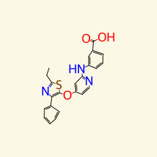 CCc1nc(-c2ccccc2)c(Oc2ccnc(Nc3cccc(C(=O)O)c3)c2)s1